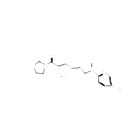 CN(CCCC[C@H](N)C(=O)N1CCSC1)c1ccc(C#N)cn1